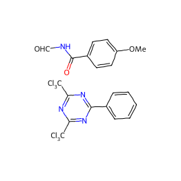 COc1ccc(C(=O)NC=O)cc1.ClC(Cl)(Cl)c1nc(-c2ccccc2)nc(C(Cl)(Cl)Cl)n1